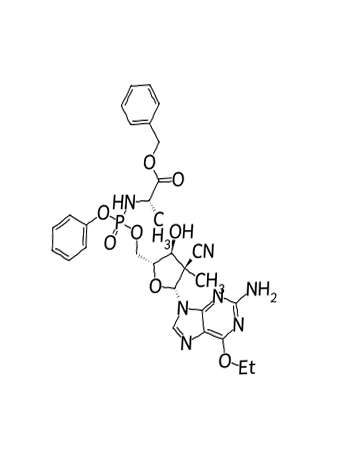 CCOc1nc(N)nc2c1ncn2[C@@H]1O[C@H](COP(=O)(N[C@@H](C)C(=O)OCc2ccccc2)Oc2ccccc2)[C@@H](O)[C@@]1(C)C#N